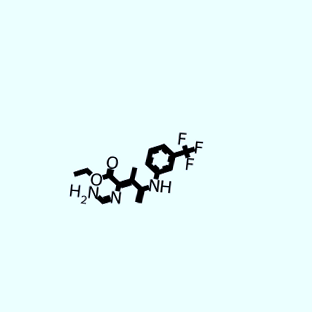 C=C(Nc1cccc(C(F)(F)F)c1)/C(C)=C(\N=C/N)C(=O)OCC